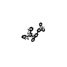 c1ccc(-n2c3ccc(-c4ccc5c6ccccc6n(-c6cc(-c7ccccn7)nc(-c7ccccn7)c6)c5c4)cc3c3cccnc32)cc1